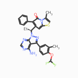 CC[C@@H](c1cc2scc(C)n2c(=O)c1-c1ccccc1)n1nc(-c2ccc(OC(F)F)c(C)c2)c2c(N)ncnc21